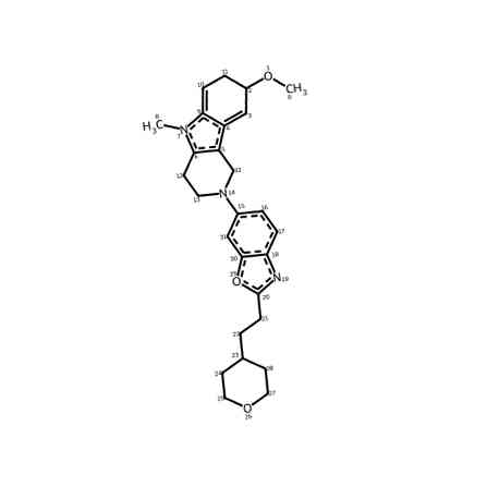 COC1C=c2c3c(n(C)c2=CC1)CCN(c1ccc2nc(CCC4CCOCC4)oc2c1)C3